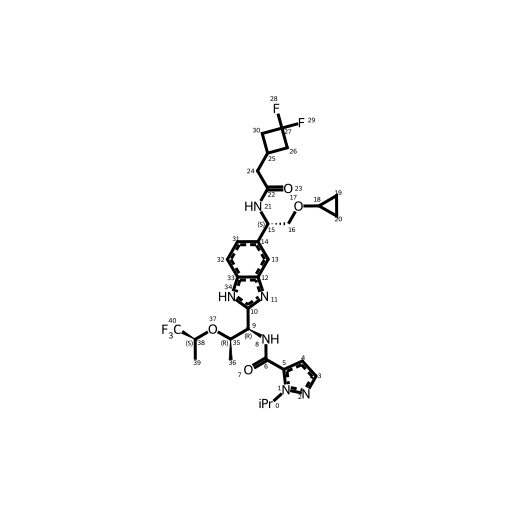 CC(C)n1nccc1C(=O)N[C@H](c1nc2cc([C@@H](COC3CC3)NC(=O)CC3CC(F)(F)C3)ccc2[nH]1)[C@@H](C)O[C@@H](C)C(F)(F)F